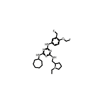 CCN1CCCC1CNc1nc(Nc2ccc(OCF)c(CF)c2)nc(NC2CCCCCC2)n1